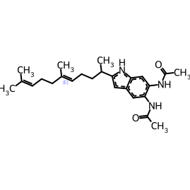 CC(=O)Nc1cc2cc(C(C)CC/C=C(\C)CCC=C(C)C)[nH]c2cc1NC(C)=O